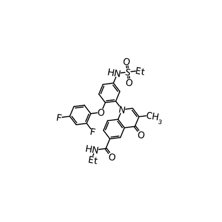 CCNC(=O)c1ccc2c(c1)c(=O)c(C)cn2-c1cc(NS(=O)(=O)CC)ccc1Oc1ccc(F)cc1F